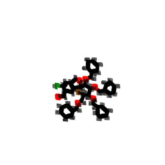 O=Cc1cc2c(cc1F)CO[C@]21S[C@H](COCc2ccccc2)[C@@H](OCc2ccccc2)[C@H](OCc2ccccc2)[C@H]1OCc1ccccc1